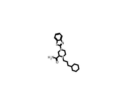 NC(=O)C1CN(c2nc3ccccc3s2)CCN1C[CH]CC1CCCCC1